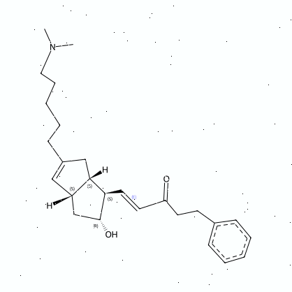 CN(C)CCCCCC1=C[C@H]2C[C@@H](O)[C@H](/C=C/C(=O)CCc3ccccc3)[C@H]2C1